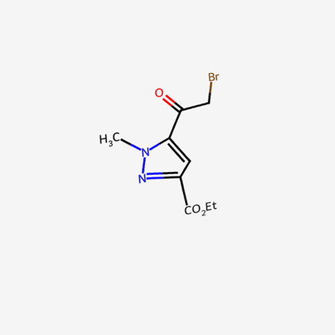 CCOC(=O)c1cc(C(=O)CBr)n(C)n1